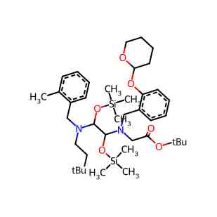 Cc1ccccc1CN(CCC(C)(C)C)C(O[Si](C)(C)C)C(O[Si](C)(C)C)N(CC(=O)OC(C)(C)C)Cc1ccccc1OC1CCCCO1